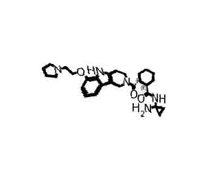 NC1(NC(=O)[C@@H]2CCCC[C@H]2C(=O)N2CCc3[nH]c4c(OCCN5CCCC5)cccc4c3C2)CC1